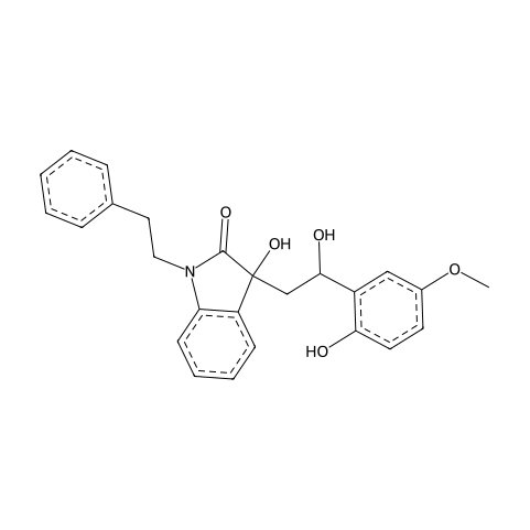 COc1ccc(O)c(C(O)CC2(O)C(=O)N(CCc3ccccc3)c3ccccc32)c1